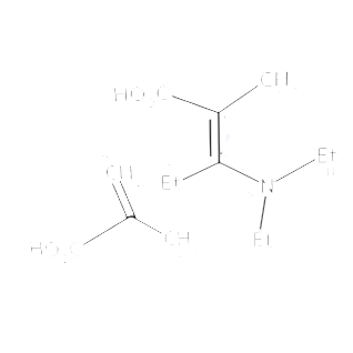 C=C(C)C(=O)O.CC/C(=C(/C)C(=O)O)N(CC)CC